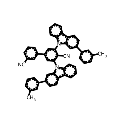 Cc1cccc(-c2ccc3c4ccccc4n(-c4cc(-c5cccc(C#N)c5)cc(-n5c6ccccc6c6ccc(-c7cccc(C)c7)cc65)c4C#N)c3c2)c1